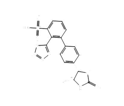 C[C@H]1NC(=O)O[C@H]1c1ccc(-c2cccc(S(N)(=O)=O)c2-c2nnn[nH]2)cc1